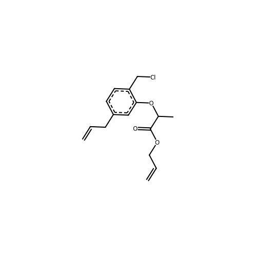 C=CCOC(=O)C(C)Oc1cc(CC=C)ccc1CCl